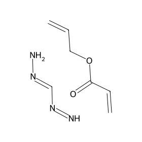 C=CCOC(=O)C=C.N=NC=NN